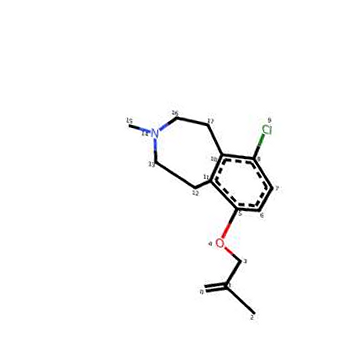 C=C(C)COc1ccc(Cl)c2c1CCN(C)CC2